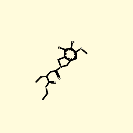 CCOC(=O)[C@@H](CC)CC(=O)N1Cc2cc(OC)c(O)c(F)c2C1